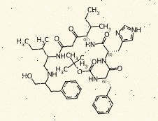 CCC(C)C(CNC(CO)Cc1ccccc1)NC(=O)CC(=O)[C@@H](NC(=O)[C@H](Cc1c[nH]cn1)NC(=O)[C@H](Cc1ccccc1)NC(=O)OC(C)(C)C)C(C)CC